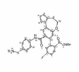 COC(=O)c1ccc(F)cc1-c1cc2c(cc1C(=O)Nc1ccc(CN)cc1)-c1sccc1CCO2